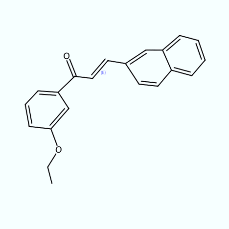 CCOc1cccc(C(=O)/C=C/c2ccc3ccccc3c2)c1